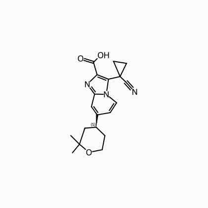 CC1(C)C[C@@H](c2ccn3c(C4(C#N)CC4)c(C(=O)O)nc3c2)CCO1